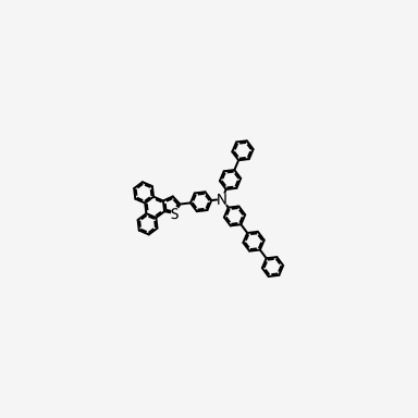 c1ccc(-c2ccc(-c3ccc(N(c4ccc(-c5ccccc5)cc4)c4ccc(-c5cc6c7ccccc7c7ccccc7c6s5)cc4)cc3)cc2)cc1